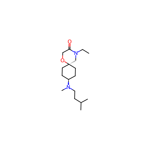 CCN1C[C@]2(CC[C@H](N(C)CCC(C)C)CC2)OCC1=O